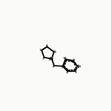 [CH]1CCN(Cc2ccncc2)C1